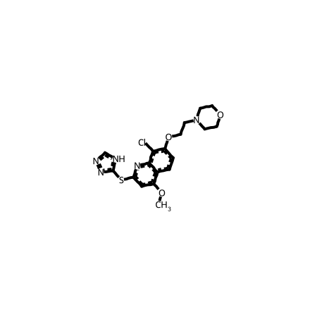 COc1cc(Sc2nnc[nH]2)nc2c(Cl)c(OCCN3CCOCC3)ccc12